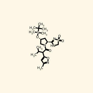 Cc1cc(C(C(=O)N2C[C@H](O[Si](C)(C)C(C)(C)C)C[C@H]2C2=NS(=O)(=O)CN2)C(C)C)on1